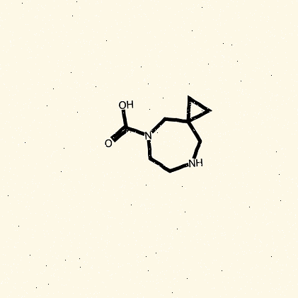 O=C(O)N1CCNCC2(CC2)C1